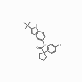 CC(C)(C)c1cc2cc(NC(=O)C3(c4ccc(Cl)cc4)CCCC3)ccc2[nH]1